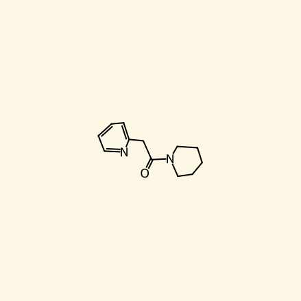 O=C(Cc1ccccn1)N1CCCCC1